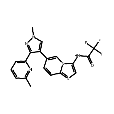 Cc1cccc(-c2nn(C)cc2-c2ccc3ncc(NC(=O)C(F)(F)F)n3c2)n1